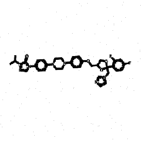 CC(C)n1ncn(-c2ccc(N3CCN(c4ccc(OCC5COC(Cn6ccnc6)(c6ccc(F)cc6F)O5)cc4)CC3)cc2)c1=O